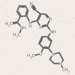 C=C(NC)c1ccccc1Nc1nc(Nc2ccc(OC)c(N3CCN(C)CC3)c2)ncc1C#N